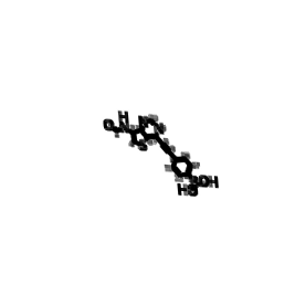 O=CNc1csc2c(C#Cc3ccc(B(O)O)cc3)ncnc12